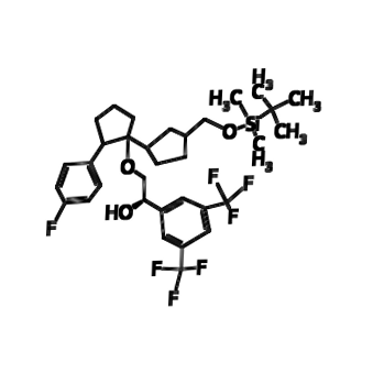 CC(C)(C)[Si](C)(C)OCC1CCC(C2(OC[C@H](O)c3cc(C(F)(F)F)cc(C(F)(F)F)c3)CCCC2c2ccc(F)cc2)C1